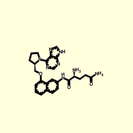 NC(=O)CC[C@H](N)C(=O)Nc1ccc2cccc(OC[C@H]3CCCN3c3ncnc4[nH]cnc34)c2c1